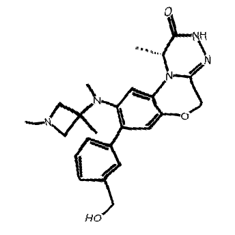 C[C@@H]1C(=O)NN=C2COc3cc(-c4cccc(CO)c4)c(N(C)C4(C)CN(C)C4)cc3N21